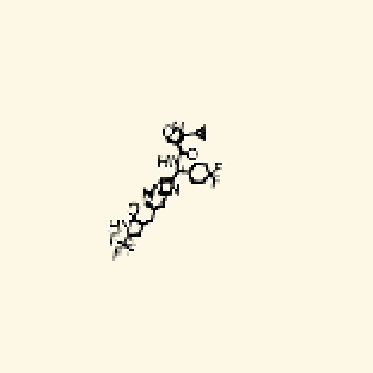 O=C(N[C@H](c1cn2ncc(CC3C[C@@H](C(F)(F)F)NC3=O)cc2n1)C1CCC(F)(F)CC1)c1conc1C1CC1